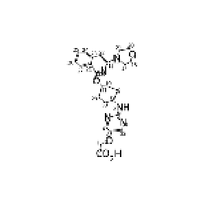 O=C(O)COc1cnc(N[C@H]2CC[C@@H](Oc3nc(N4CCOCC4)cc4ccccc34)CC2)nc1